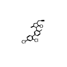 C#CCC1CC(=C)C(c2cc(-c3ccc(Cl)cc3Cl)ccc2C)C1=O